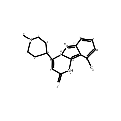 CN1CCC(c2cc(=O)[nH]c3c4c(Cl)cccc4nn23)CC1